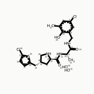 Cc1cc(Cl)cc(CNC(=O)[C@H](C)NC(=O)[C@H]2C[C@H](Cc3ccc(Cl)s3)CN2)c1O.Cl.Cl